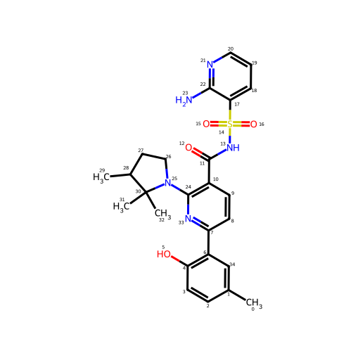 Cc1ccc(O)c(-c2ccc(C(=O)NS(=O)(=O)c3cccnc3N)c(N3CCC(C)C3(C)C)n2)c1